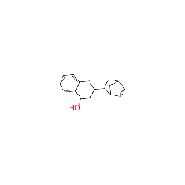 OC1CC(C2CC3C=CC2C3)Cc2ccccc21